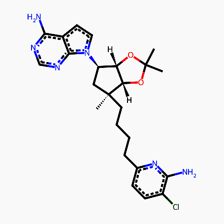 CC1(C)O[C@H]2[C@H](n3ccc4c(N)ncnc43)C[C@](C)(CCCCc3ccc(Cl)c(N)n3)[C@H]2O1